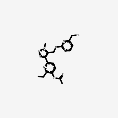 CCc1nc(-c2nnn(C)c2COc2nccc(CO)n2)ccc1OC(C)=O